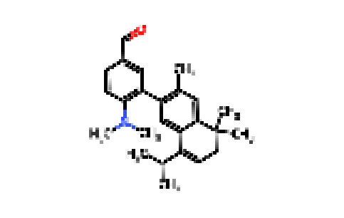 Cc1cc2c(cc1-c1cc(C=O)ccc1N(C)C)C(C(C)C)=CCC2(C)C